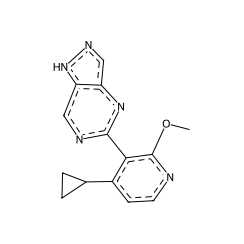 COc1nccc(C2CC2)c1-c1ncc2[nH]ncc2n1